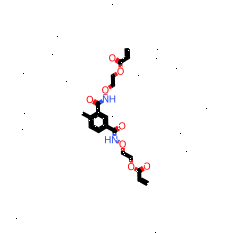 C=CC(=O)OCCONC(=O)c1ccc(C)c(C(=O)NOCCOC(=O)C=C)c1